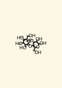 OCC1O[C@@H](O[C@@H]2C(CO)OC(O)C(O)C2O)C(O)C(O)[C@H]1O